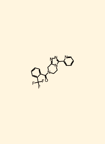 O=C(c1ccccc1C(F)(F)F)N1CCn2c(nnc2-c2ccccn2)C1